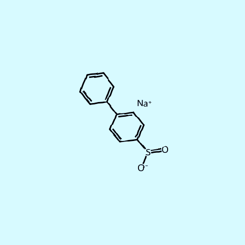 O=S([O-])c1ccc(-c2ccccc2)cc1.[Na+]